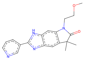 COCCN1C(=O)C(C)(C)c2cc3nc(-c4cccnc4)[nH]c3cc21